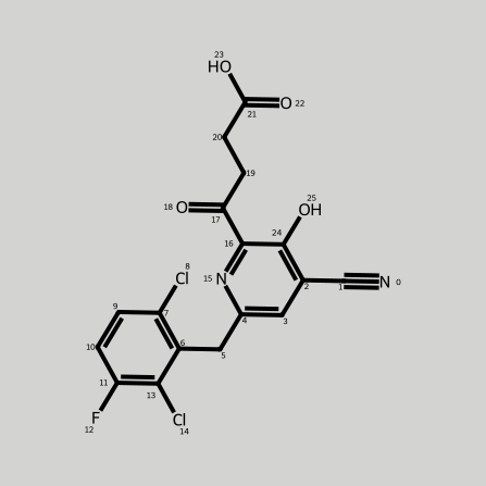 N#Cc1cc(Cc2c(Cl)ccc(F)c2Cl)nc(C(=O)CCC(=O)O)c1O